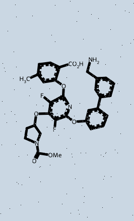 COC(=O)N1CCC(Oc2c(F)c(Oc3cccc(-c4cccc(CN)c4)c3)nc(Oc3cc(C)ccc3C(=O)O)c2F)C1